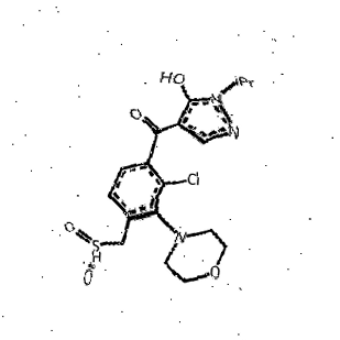 CC(C)n1ncc(C(=O)c2ccc(C[SH](=O)=O)c(N3CCOCC3)c2Cl)c1O